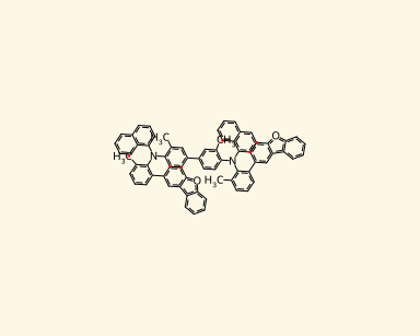 Cc1cc(-c2ccc(N(c3c(C)cccc3-c3ccc4oc5ccccc5c4c3)c3cccc4ccccc34)c(C)c2)ccc1N(c1c(C)cccc1-c1ccc2oc3ccccc3c2c1)c1cccc2ccccc12